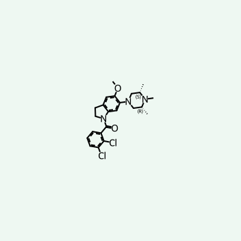 COc1cc2c(cc1N1C[C@@H](C)N(C)[C@@H](C)C1)N(C(=O)c1cccc(Cl)c1Cl)CC2